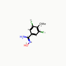 COc1c(F)cc(C(N)=NO)cc1F